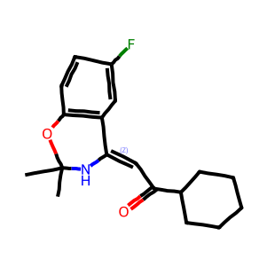 CC1(C)N/C(=C\C(=O)C2CCCCC2)c2cc(F)ccc2O1